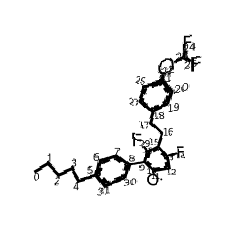 CCCCCc1ccc(-c2c([O])cc(F)c(CCc3ccc(OC(F)F)cc3)c2F)cc1